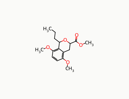 CCCC1OC(C(=O)OC)Cc2c(OC)ccc(OC)c21